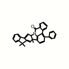 CC1(C)C2=CC3(C)c4ccc(-c5ccccc5)c5c6ccccc6c(=O)n(c45)C3C=C2c2ccccc21